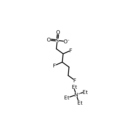 CC[N+](CC)(CC)CC.O=S(=O)([O-])CC(F)C(F)CCF